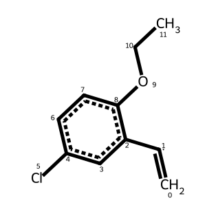 C=[C]c1cc(Cl)ccc1OCC